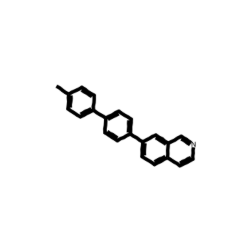 Cc1ccc(-c2ccc(-c3ccc4ccncc4c3)cc2)cc1